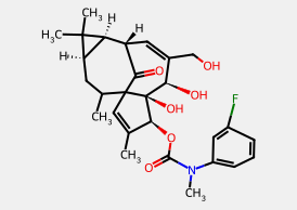 CC1=CC23C(=O)[C@@H](C=C(CO)[C@@H](O)[C@]2(O)[C@H]1OC(=O)N(C)c1cccc(F)c1)[C@H]1[C@@H](CC3C)C1(C)C